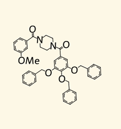 COc1cccc(C(=O)N2CCN(C(=O)c3cc(OCc4ccccc4)c(OCc4ccccc4)c(OCc4ccccc4)c3)CC2)c1